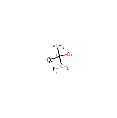 CC(C)(C)[O-].[Fr+]